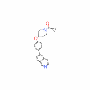 O=C(C1CC1)N1CCC(Oc2ccc(-c3ccc4cnccc4c3)cc2)CC1